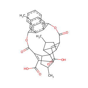 Cc1ccc2c3c4ccccc4c(c2c1)OC(=O)C1=C(C(=O)O)C2C(C)CC1C21C2CC(C)C1C(C(=O)O)=C2C(=O)O3